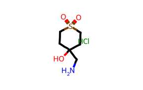 Cl.NCC1(O)CCS(=O)(=O)CC1